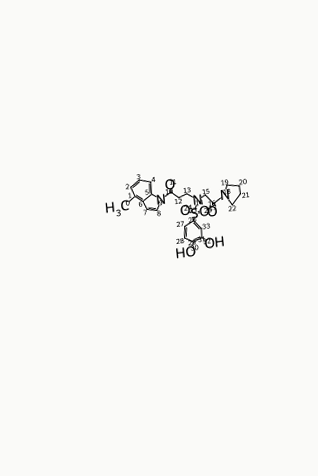 Cc1cccc2c1ccn2C(=O)CCN(CC(=O)N1CCCC1)S(=O)(=O)c1ccc(O)c(O)c1